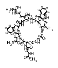 CC(=O)NCC(=O)NC1CCCNC(=O)CCC(C(N)=O)NC(=O)[C@H](Cc2c[nH]c3ccccc23)NC(=O)C(C(C)CCNC(=N)N)NC(=O)C(Cc2ccccc2)NC(=O)[C@H](CC(N)=O)NC1=O